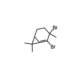 CC1(Br)CCC2C(=C1Br)C2(C)C